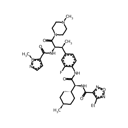 CCc1nonc1C(=O)N[C@H](C(=O)Nc1ccc([C@H](C)[C@@H](NC(=O)c2ccnn2C)C(=O)N2CCN(C)CC2)cc1F)[C@H]1CC[C@H](C)CC1